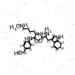 CNCCCCC(NC(=O)[C@@H](N)Cc1c[nH]c2c1C=CCC2)C(=O)Nc1ccc(CO)cc1